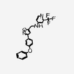 FC(F)(F)c1cc(NCc2cc(-c3ccc(Oc4ccccc4)cc3)no2)ccn1